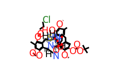 COc1cc2c(cc1OC(=O)OC(C)(C)C)CCN[C@]21CS[C@@H]2c3c(OOCCCCl)c(C)c4c(c3[C@H](COC1=O)N1C2[C@@H]2c3c(cc(C)c(OC)c3O)C[C@@H]([C@@H]1C#N)N2C)OCO4